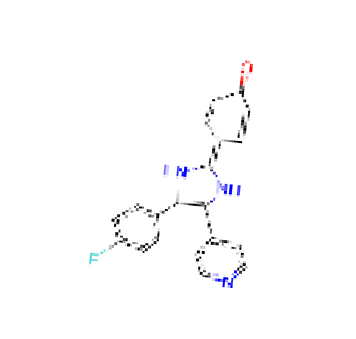 O=C1C=CC(=C2NC(c3ccncc3)=C(c3ccc(F)cc3)N2)C=C1